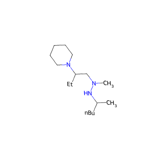 CCCCC(C)NN(C)CC(CC)N1CCCCC1